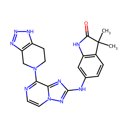 CC1(C)C(=O)Nc2cc(Nc3nc4c(N5CCc6[nH]nnc6C5)nccn4n3)ccc21